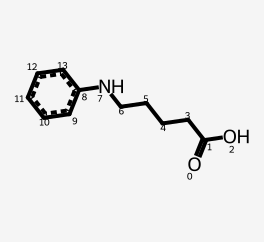 O=C(O)CCCCNc1ccccc1